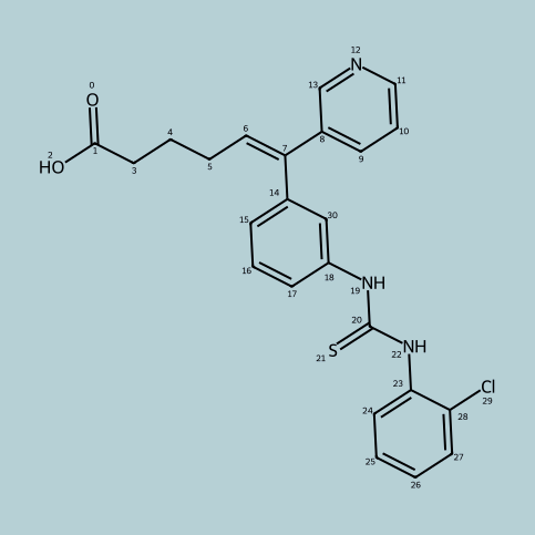 O=C(O)CCCC=C(c1cccnc1)c1cccc(NC(=S)Nc2ccccc2Cl)c1